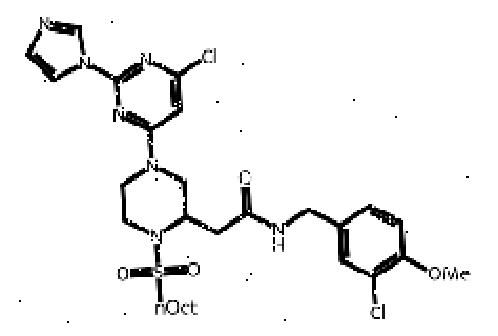 CCCCCCCCS(=O)(=O)N1CCN(c2cc(Cl)nc(-n3ccnc3)n2)CC1CC(=O)NCc1ccc(OC)c(Cl)c1